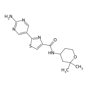 CC1(C)CC(NC(=O)c2csc(-c3cnc(N)nc3)n2)CCO1